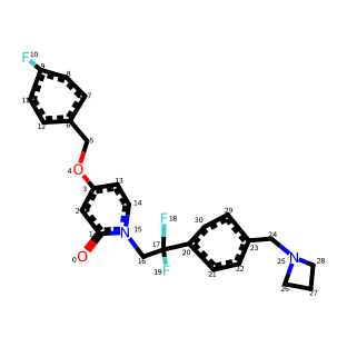 O=c1cc(OCc2ccc(F)cc2)ccn1CC(F)(F)c1ccc(CN2CCC2)cc1